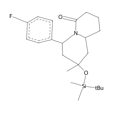 CC1(O[Si](C)(C)C(C)(C)C)CC2CCCC(=O)N2C(c2ccc(F)cc2)C1